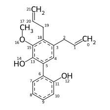 C=CCc1cc(-c2ccccc2O)c(O)c(OC)c1CC=C